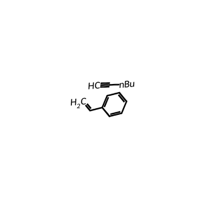 C#CCCCC.C=Cc1ccccc1